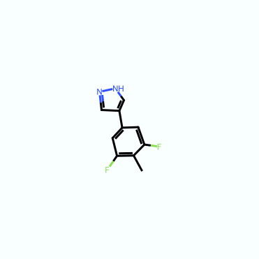 Cc1c(F)cc(-c2cn[nH]c2)cc1F